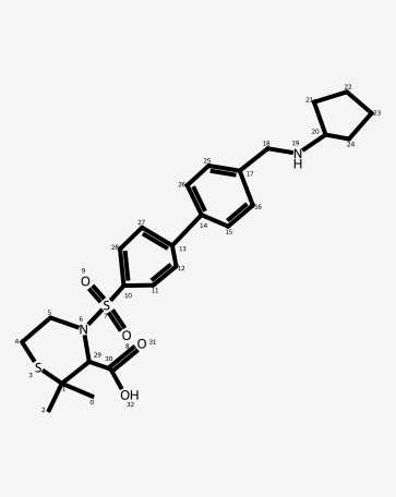 CC1(C)SCCN(S(=O)(=O)c2ccc(-c3ccc(CNC4CCCC4)cc3)cc2)C1C(=O)O